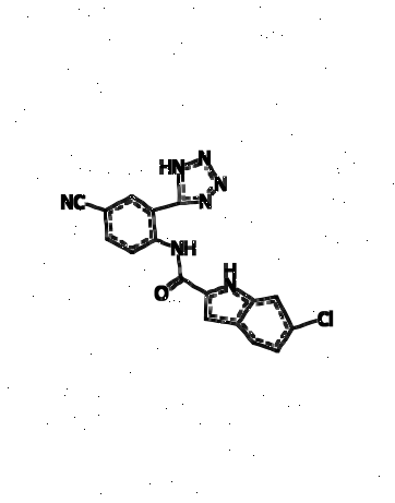 N#Cc1ccc(NC(=O)c2cc3ccc(Cl)cc3[nH]2)c(-c2nnn[nH]2)c1